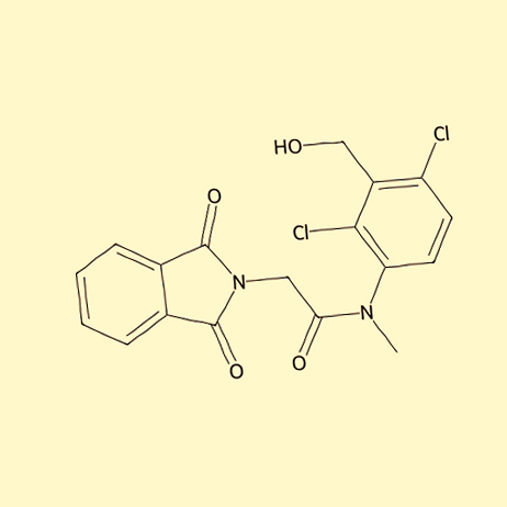 CN(C(=O)CN1C(=O)c2ccccc2C1=O)c1ccc(Cl)c(CO)c1Cl